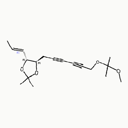 C/C=C/[C@H]1OC(C)(C)O[C@@H]1CC#CC#CCOC(C)(C)OC